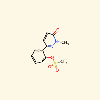 Cn1nc(-c2ccccc2OS(=O)(=O)C(F)(F)F)ccc1=O